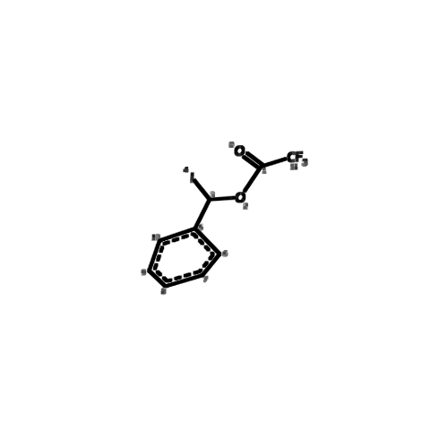 O=C(OC(I)c1ccccc1)C(F)(F)F